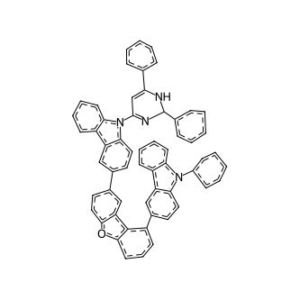 C1=C(c2ccccc2)NC(c2ccccc2)N=C1n1c2ccccc2c2cc(-c3ccc4oc5cccc(-c6ccc7c(c6)c6ccccc6n7-c6ccccc6)c5c4c3)ccc21